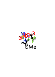 COC1CN(S(N)(=O)=O)C1.O=C(O)C(F)(F)F